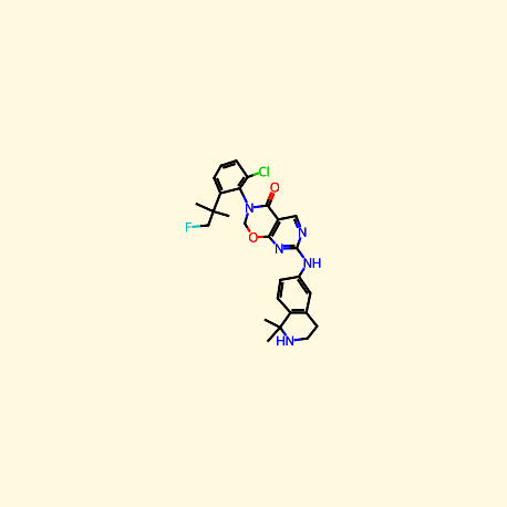 CC(C)(CF)c1cccc(Cl)c1N1COc2nc(Nc3ccc4c(c3)CCNC4(C)C)ncc2C1=O